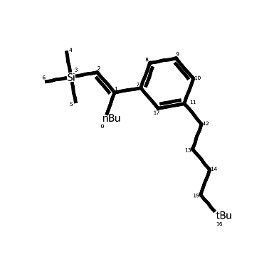 CCCC/C(=C\[Si](C)(C)C)c1cccc(CCCCC(C)(C)C)c1